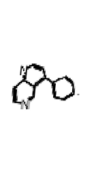 [c]1ccc(-c2ccnc3ccncc23)cc1